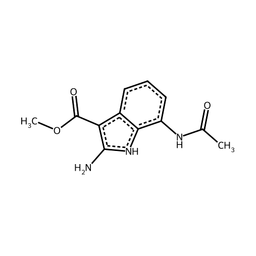 COC(=O)c1c(N)[nH]c2c(NC(C)=O)cccc12